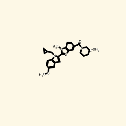 COc1ccc2c(c1)cc(-c1nc3cc(C(=O)N4CCC[C@@H](N)C4)ccc3n1C)n2CC1CC1